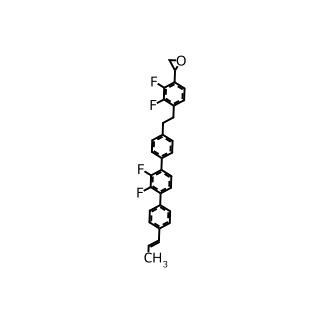 C/C=C/c1ccc(-c2ccc(-c3ccc(CCc4ccc(C5CO5)c(F)c4F)cc3)c(F)c2F)cc1